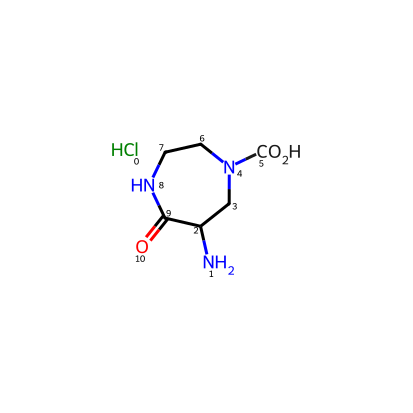 Cl.NC1CN(C(=O)O)CCNC1=O